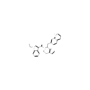 CCn1cc(C(=O)N2CCc3ccsc3C2Cc2ccc3cccnc3c2)c2ccccc21